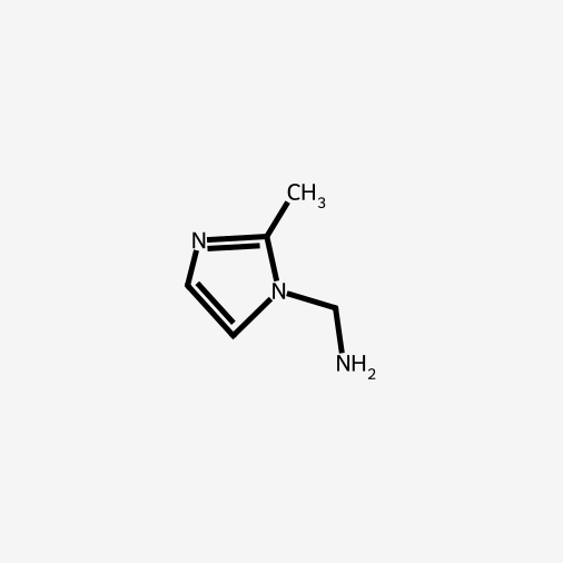 Cc1nccn1CN